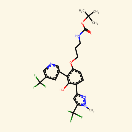 Cn1nc(-c2ccc(OCCCNC(=O)OC(C)(C)C)c(-c3cncc(C(F)(F)F)c3)c2O)cc1C(F)(F)F